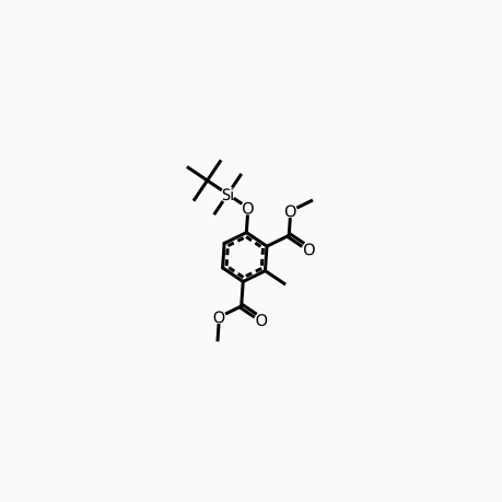 COC(=O)c1ccc(O[Si](C)(C)C(C)(C)C)c(C(=O)OC)c1C